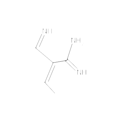 C/C=C(/C=N)C(=N)N